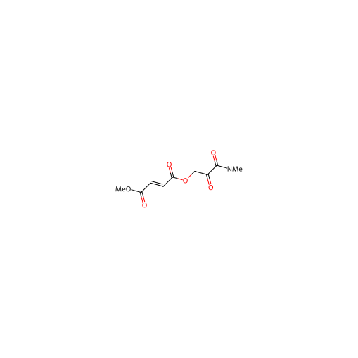 CNC(=O)C(=O)COC(=O)/C=C/C(=O)OC